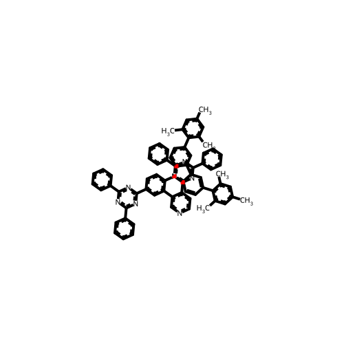 Cc1cc(C)c(C2=CC3c4cc(-c5c(C)cc(C)cc5C)ccc4N(c4ccc(-c5nc(-c6ccccc6)nc(-c6ccccc6)n5)cc4-c4cnccc4-c4nc(-c5ccccc5)nc(-c5ccccc5)n4)C3C=C2)c(C)c1